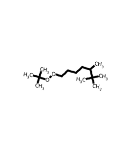 CC(CCCCOOC(C)(C)C)C(C)(C)C